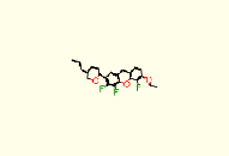 CCCC1CCC(c2cc3c(c(F)c2F)Oc2c(ccc(OCC)c2F)C3)OC1